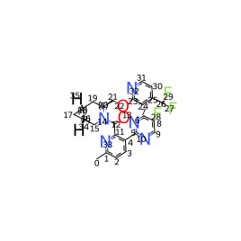 Cc1ccc(-c2ncccn2)c(C(=O)N2C[C@@H]3C[C@@H]3C[C@H]2COc2cc(C(F)(F)F)ccn2)n1